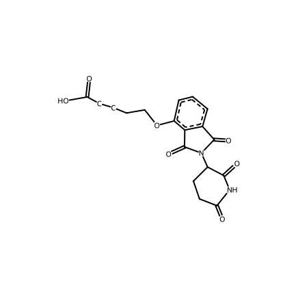 O=C(O)CCCCOc1cccc2c1C(=O)N(C1CCC(=O)NC1=O)C2=O